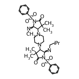 C/N=C1\C(N2CCN(C3/C(=N\CC(C)C)N(S(=O)(=O)c4ccccc4)C(=O)C3(C)C)CC2)C(C)(C)C(=O)N1S(=O)(=O)c1ccccc1